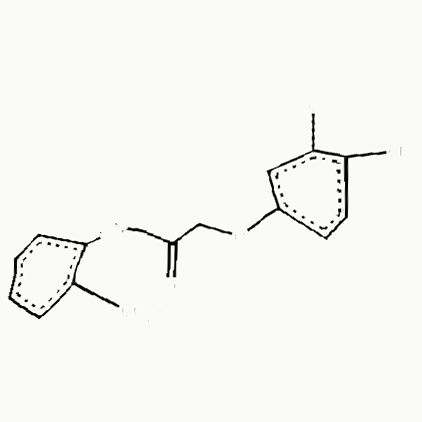 O=C(COc1ccc(Cl)c(Cl)c1)Nc1ccccc1C(=O)O